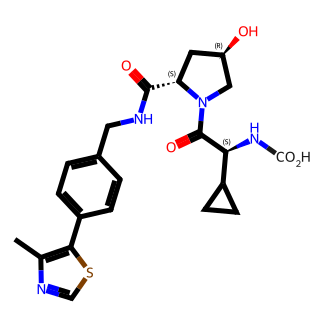 Cc1ncsc1-c1ccc(CNC(=O)[C@@H]2C[C@@H](O)CN2C(=O)[C@@H](NC(=O)O)C2CC2)cc1